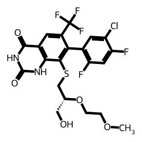 COCCO[C@H](CO)CSc1c(-c2cc(Cl)c(F)cc2F)c(C(F)(F)F)cc2c(=O)[nH]c(=O)[nH]c12